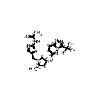 CC(=O)Nc1ncc(CN2C[C@H](Oc3ccc4nnc(C(F)(F)F)n4n3)C[C@@H]2C)s1